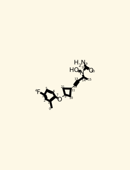 Cc1cc(F)ccc1O[C@H]1C[C@@H](C#CC(C)N(O)C(N)=O)C1